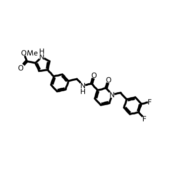 COC(=O)c1cc(-c2cccc(CNC(=O)c3cccn(Cc4ccc(F)c(F)c4)c3=O)c2)c[nH]1